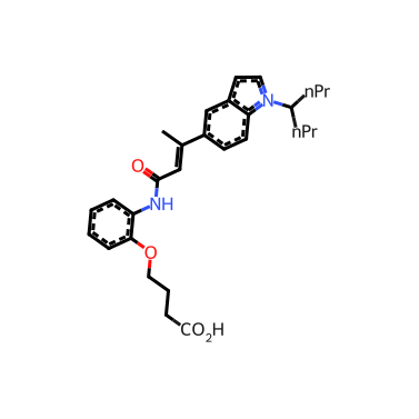 CCCC(CCC)n1ccc2cc(/C(C)=C/C(=O)Nc3ccccc3OCCCC(=O)O)ccc21